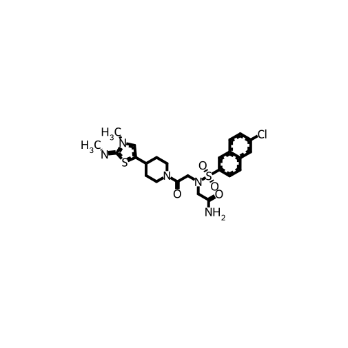 CN=c1sc(C2CCN(C(=O)CN(CC(N)=O)S(=O)(=O)c3ccc4cc(Cl)ccc4c3)CC2)cn1C